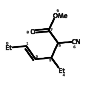 CCC=CC(CC)C(C#N)C(=O)OC